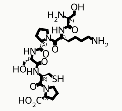 NCCCC[C@H](NC(=O)[C@@H](N)CO)C(=O)N1CCC[C@H]1C(=O)N[C@@H](CO)C(=O)N[C@@H](CS)C(=O)N1CCC[C@H]1C(=O)O